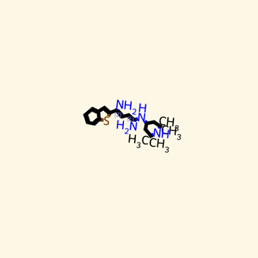 CC1(C)CC(N/C(N)=C/C=C(\N)c2cc3ccccc3s2)CC(C)(C)N1